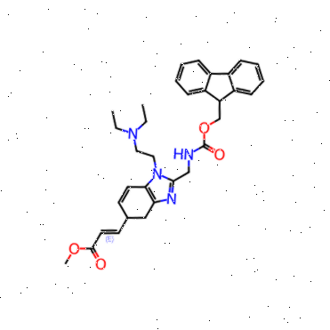 CCN(CC)CCn1c(CNC(=O)OCC2c3ccccc3-c3ccccc32)nc2c1C=CC(/C=C/C(=O)OC)C2